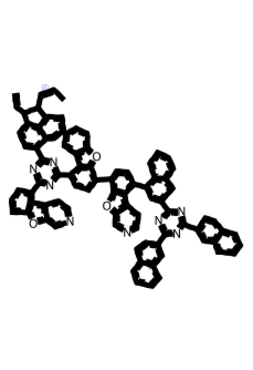 C=CC1c2ccc(-c3nc(-c4cccc5oc6cnccc6c45)nc(-c4ccc(-c5ccc(-c6cc(-c7nc(-c8ccc9ccccc9c8)nc(-c8ccc9ccccc9c8)n7)cc7ccccc67)c6c5oc5cnccc56)c5oc6ccccc6c45)n3)c3cccc(c23)C1/C=C\C